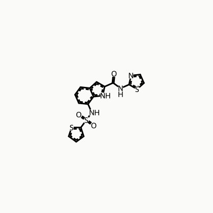 O=C(Nc1nccs1)c1cc2cccc(NS(=O)(=O)c3cccs3)c2[nH]1